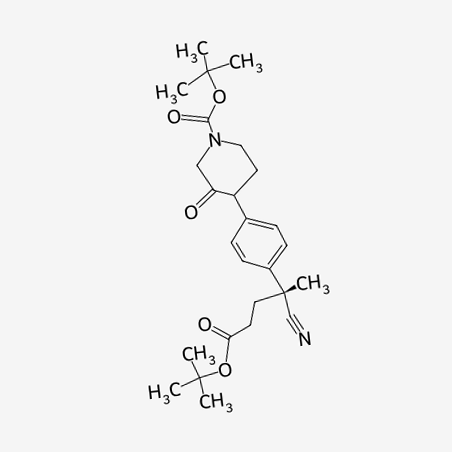 CC(C)(C)OC(=O)CC[C@@](C)(C#N)c1ccc(C2CCN(C(=O)OC(C)(C)C)CC2=O)cc1